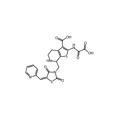 O=C(O)C(=O)Nc1sc2c(c1C(=O)O)CCNC2CN1C(=O)SC(=Cc2ccccn2)C1=O